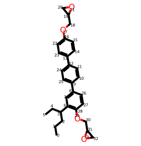 CCCC(CC)c1cc(-c2ccc(-c3ccc(OCC4CO4)cc3)cc2)ccc1OCC1CO1